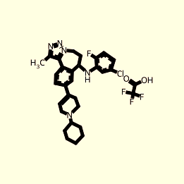 Cc1nnn2c1-c1ccc(C3=CCN(C4CCCCC4)CC3)cc1C(Nc1cc(Cl)ccc1F)CC2.O=C(O)C(F)(F)F